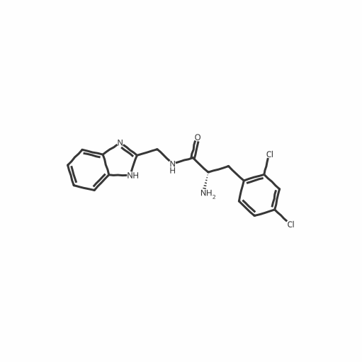 N[C@@H](Cc1ccc(Cl)cc1Cl)C(=O)NCc1nc2ccccc2[nH]1